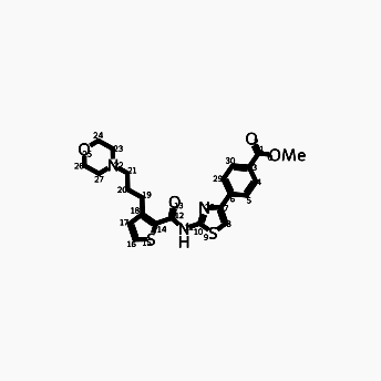 COC(=O)c1ccc(-c2csc(NC(=O)c3sccc3CCCN3CCOCC3)n2)cc1